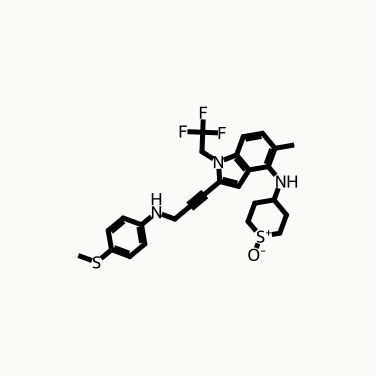 CSc1ccc(NCC#Cc2cc3c(NC4CC[S+]([O-])CC4)c(C)ccc3n2CC(F)(F)F)cc1